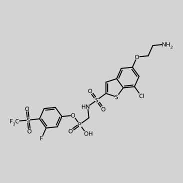 NCCOc1cc(Cl)c2sc(S(=O)(=O)NCP(=O)(O)Oc3ccc(S(=O)(=O)C(F)(F)F)c(F)c3)cc2c1